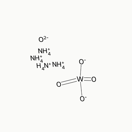 [NH4+].[NH4+].[NH4+].[NH4+].[O-2].[O]=[W](=[O])([O-])[O-]